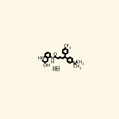 CN(C)c1ccc(C(=CC=CC(=O)Nc2cccc3c2CC(O)CN3)c2ccc(C(F)(F)F)cc2)cc1.Cl.Cl